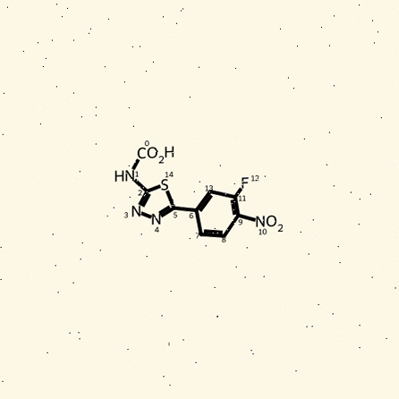 O=C(O)Nc1nnc(-c2ccc([N+](=O)[O-])c(F)c2)s1